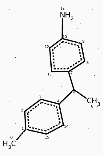 Cc1ccc(C(C)c2ccc(N)cc2)cc1